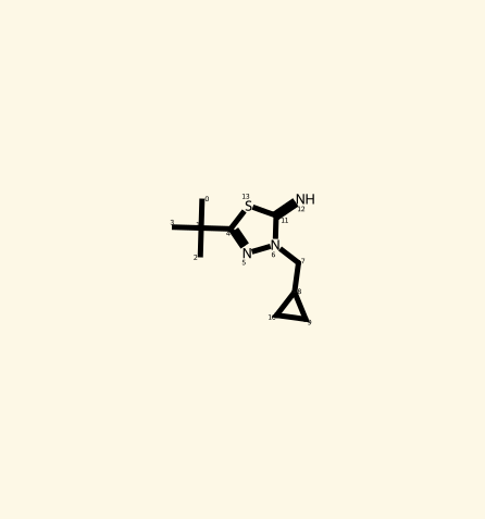 CC(C)(C)c1nn(CC2CC2)c(=N)s1